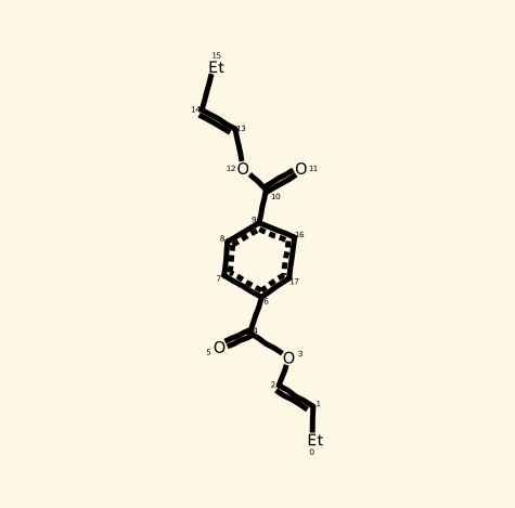 CCC=COC(=O)c1ccc(C(=O)OC=CCC)cc1